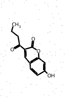 CCCC(=O)c1cc2ccc(O)cc2oc1=O